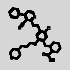 N#Cc1c(-c2ccccc2)ccnc1C=Cc1cc(OCCCN2CCOCC2)c(CN2CCCCC2C(=O)O)cc1Cl